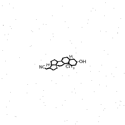 C[C@]12CC[C@@H](O)C[C@@H]1CCC1C3CC[C@@H]4/C(=C\C#N)CC[C@]34CCC12